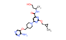 C[C@@H]1C[C@@H]1COc1nc(C(=O)NC(CCO)C(F)(F)F)cc(N2CCC(COc3cncnc3N)CC2)n1